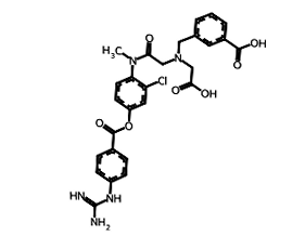 CN(C(=O)CN(CC(=O)O)Cc1cccc(C(=O)O)c1)c1ccc(OC(=O)c2ccc(NC(=N)N)cc2)cc1Cl